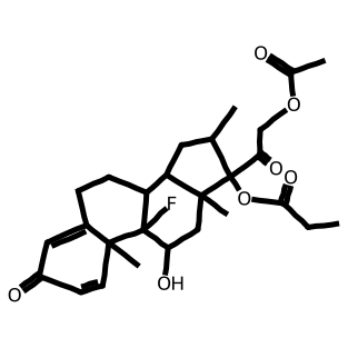 CCC(=O)OC1(C(=O)COC(C)=O)C(C)CC2C3CCC4=CC(=O)C=CC4(C)C3(F)C(O)CC21C